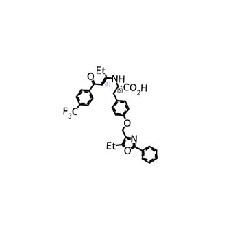 CC/C(=C\C(=O)c1ccc(C(F)(F)F)cc1)N[C@@H](Cc1ccc(OCc2nc(-c3ccccc3)oc2CC)cc1)C(=O)O